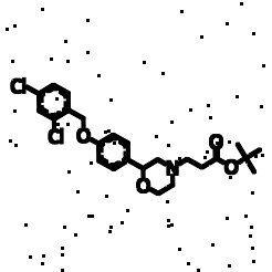 CC(C)(C)OC(=O)CCN1CCOC(c2ccc(OCc3ccc(Cl)cc3Cl)cc2)C1